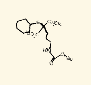 CCOC(=O)C(CCCNC(=O)OC(C)(C)C)(SC1CCCCC1)C(=O)OCC